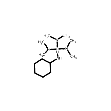 CN(C)[PH](NC1CCCCC1)(N(C)C)N(C)C